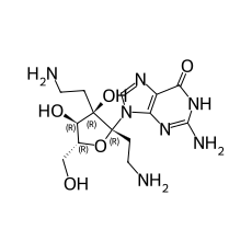 NCC[C@@]1(O)[C@H](O)[C@@H](CO)O[C@@]1(CCN)n1cnc2c(=O)[nH]c(N)nc21